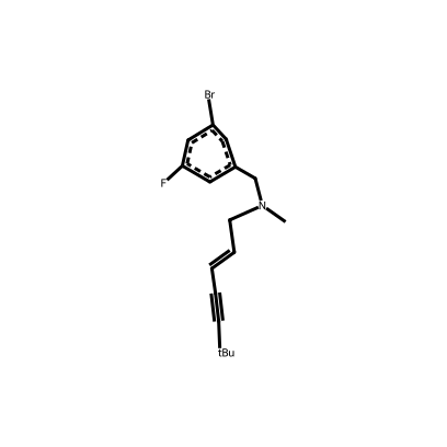 CN(CC=CC#CC(C)(C)C)Cc1cc(F)cc(Br)c1